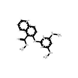 COC(=O)c1c(Oc2nc(OC)cc(OC)n2)ccc2ncccc12